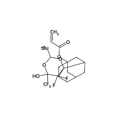 C=CC(=O)OC12CC3CC(C1)C1(OC(C(C)(C)C)OC(O)(C(F)(F)F)C1(F)F)C(C3)C2